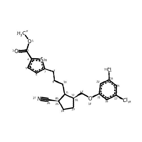 COC(=O)c1ccc(CCCC2[C@@H](COc3cc(Cl)cc(Cl)c3)CC[C@H]2C#N)s1